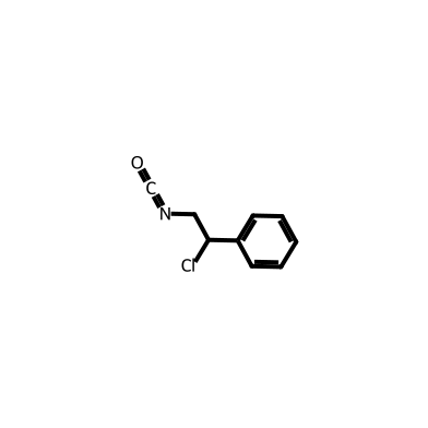 O=C=NCC(Cl)c1ccccc1